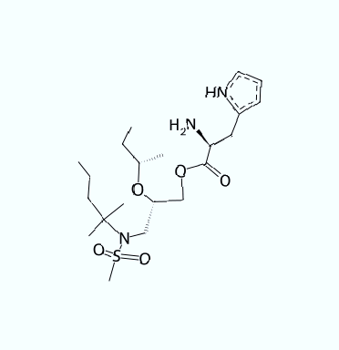 CCCC(C)(C)N(C[C@@H](COC(=O)[C@@H](N)Cc1ccc[nH]1)O[C@@H](C)CC)S(C)(=O)=O